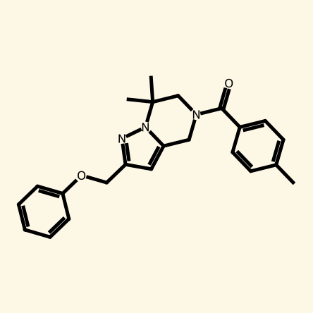 Cc1ccc(C(=O)N2Cc3cc(COc4ccccc4)nn3C(C)(C)C2)cc1